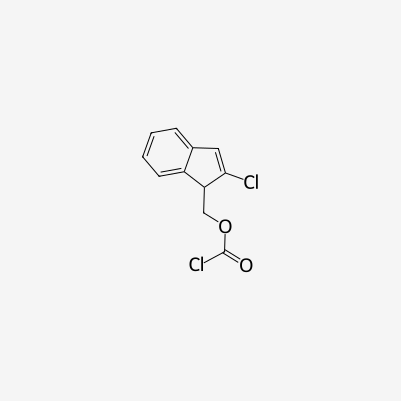 O=C(Cl)OCC1C(Cl)=Cc2ccccc21